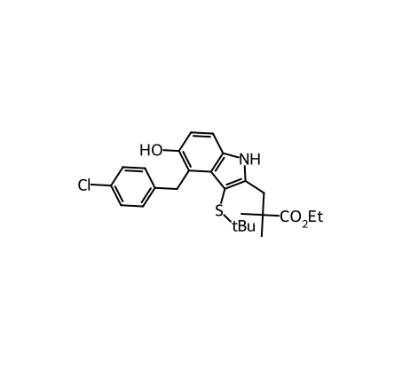 CCOC(=O)C(C)(C)Cc1[nH]c2ccc(O)c(Cc3ccc(Cl)cc3)c2c1SC(C)(C)C